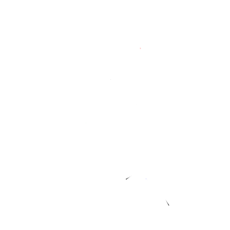 C[C@@H]1CCN([C@@H](C)COc2ccc(C3Oc4ccc(O)c(F)c4C(C4CC4)=C3c3ccc(Cl)c(S(C)(=O)=O)c3)cc2)C1